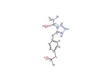 CC(=O)Cc1ccc(Cc2nnnn2C(=O)N(C)C)cc1